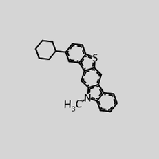 Cn1c2ccccc2c2cc3sc4ccc(C5CCCCC5)cc4c3cc21